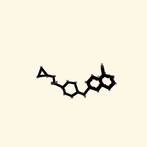 O=c1[nH]ccc2cc(OC3CCC(NCC4CC4)CC3)ccc12